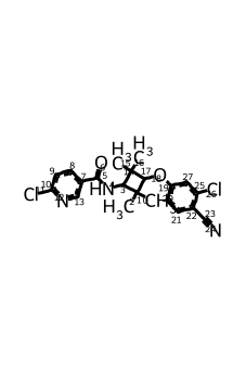 CC1(C)C(NC(=O)c2ccc(Cl)nc2)C(C)(C)C1Oc1ccc(C#N)c(Cl)c1